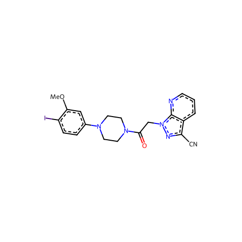 COc1cc(N2CCN(C(=O)Cn3nc(C#N)c4cccnc43)CC2)ccc1I